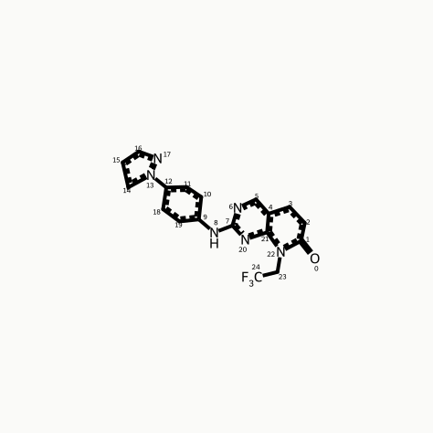 O=c1ccc2cnc(Nc3ccc(-n4cccn4)cc3)nc2n1CC(F)(F)F